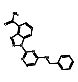 NC(=O)c1cccc2c1nnn2-c1nncc(NCc2ccccc2)n1